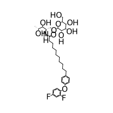 C[C@@H](O)[C@@H](O)[C@H](CO[C@H]1OC(CO)[C@H](O)C(O)[C@@H]1O)NC(=O)CCCCCCCCCCc1ccc(Oc2ccc(F)cc2F)cc1